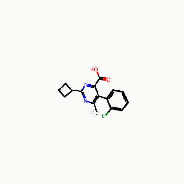 Cc1nc(C2CCC2)nc(C(=O)O)c1-c1ccccc1Cl